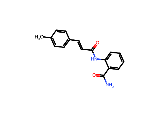 Cc1ccc(C=CC(=O)Nc2ccccc2C(N)=O)cc1